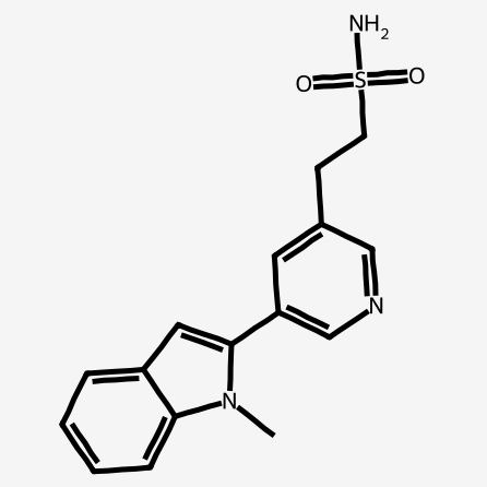 Cn1c(-c2cncc(CCS(N)(=O)=O)c2)cc2ccccc21